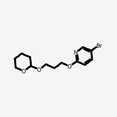 Brc1ccc(OCCCOC2CCCCO2)nc1